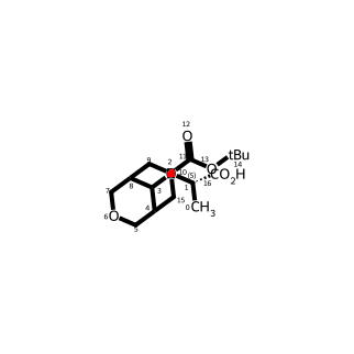 C[C@H](OC1C2COCC1CN(C(=O)OC(C)(C)C)C2)C(=O)O